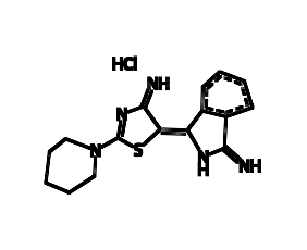 Cl.N=C1N=C(N2CCCCC2)SC1=C1NC(=N)c2ccccc21